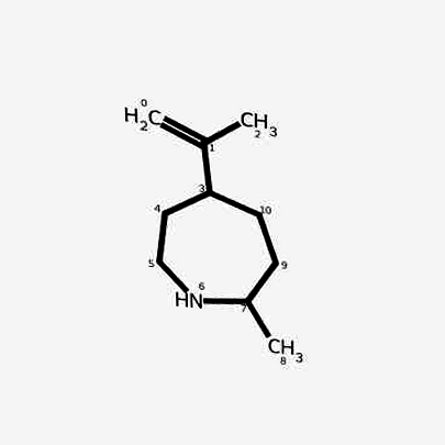 C=C(C)C1CCNC(C)CC1